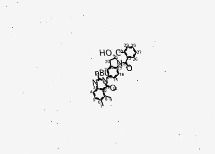 CCCCc1nc2ccc(C)c(C)c2c(=O)n1-c1ccc2c(c1)CCN2C(=O)c1ccccc1C(=O)O